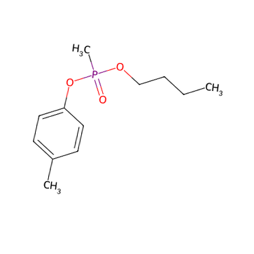 CCCCOP(C)(=O)Oc1ccc(C)cc1